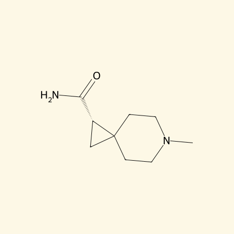 CN1CCC2(CC1)C[C@@H]2C(N)=O